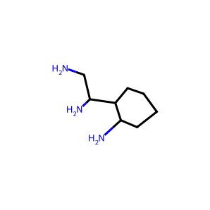 NCC(N)C1CCCCC1N